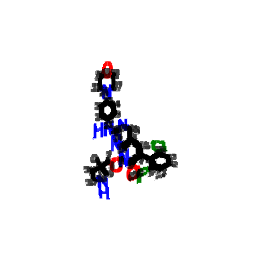 C[C@]1(COn2c(=O)c(-c3c(F)cccc3Cl)cc3cnc(Nc4ccc(N5CCOCC5)cc4)nc32)CCNC1